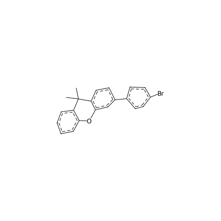 CC1(C)c2ccccc2Oc2cc(-c3ccc(Br)cc3)ccc21